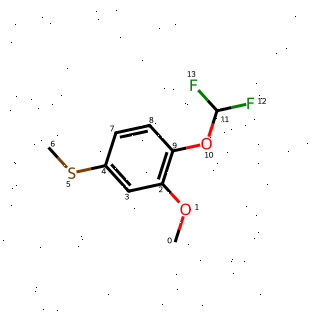 COc1cc(SC)ccc1OC(F)F